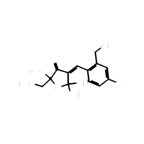 CCc1cc(Br)ccc1/C=C1/C(=O)C(C)(CC)OC1(C)C